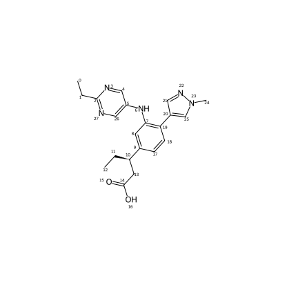 CCc1ncc(Nc2cc([C@H](CC)CC(=O)O)ccc2-c2cnn(C)c2)cn1